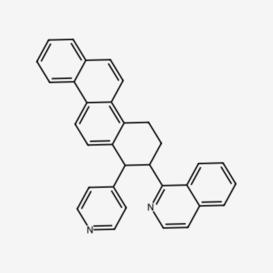 c1ccc2c(C3CCc4c(ccc5c4ccc4ccccc45)C3c3ccncc3)nccc2c1